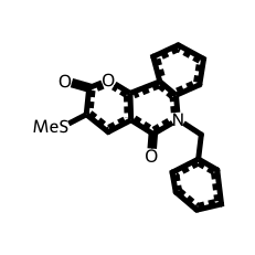 CSc1cc2c(=O)n(Cc3ccccc3)c3ccccc3c2oc1=O